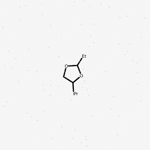 CCC1OCC(C(C)C)O1